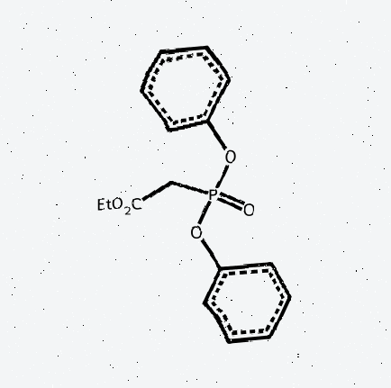 CCOC(=O)CP(=O)(Oc1ccccc1)Oc1ccccc1